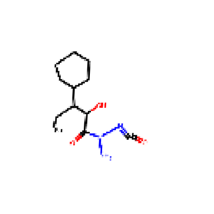 CC(C)(C)CC(C1CCCCC1)C(O)C(=O)N(N)N=C=O